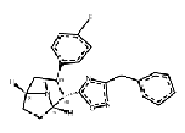 CN1[C@@H]2CC[C@H]1[C@@H](c1nc(Cc3ccccc3)no1)[C@H](c1ccc(F)cc1)C2